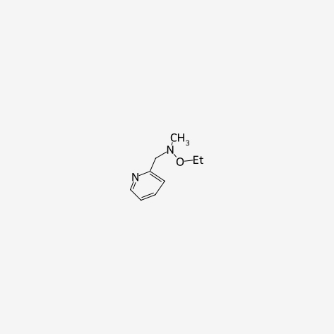 CCON(C)Cc1ccccn1